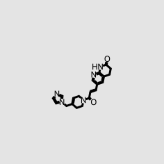 O=C1CCc2cc(C=CC(=O)N3CC=C(Cn4ccnc4)CC3)cnc2N1